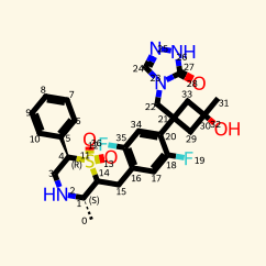 C[C@@H]1NC[C@@H](c2ccccc2)S(=O)(=O)C1Cc1cc(F)c(C2(Cn3cn[nH]c3=O)CC(C)(O)C2)cc1F